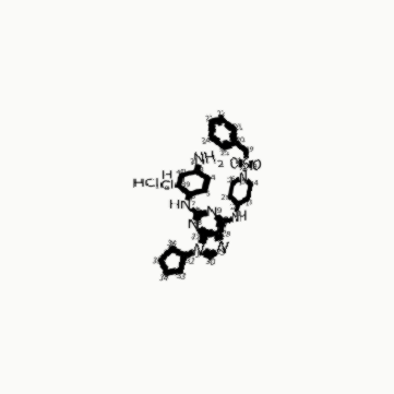 Cl.Cl.NC1CCC(Nc2nc(NC3CCN(S(=O)(=O)Cc4ccccc4)CC3)c3ncn(C4CCCC4)c3n2)CC1